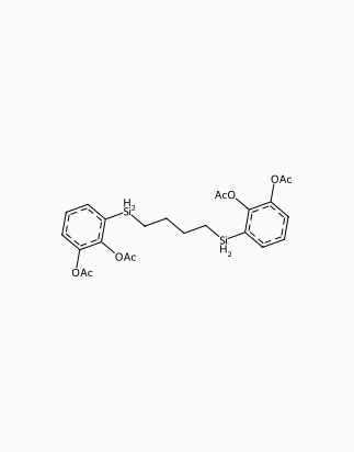 CC(=O)Oc1cccc([SiH2]CCCC[SiH2]c2cccc(OC(C)=O)c2OC(C)=O)c1OC(C)=O